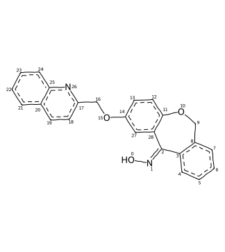 ON=C1c2ccccc2COc2ccc(OCc3ccc4ccccc4n3)cc21